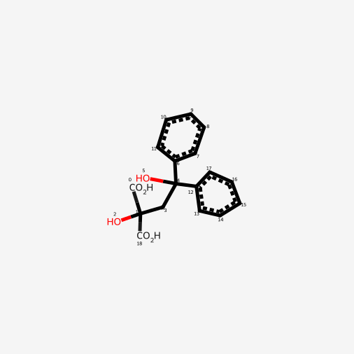 O=C(O)C(O)([C]C(O)(c1ccccc1)c1ccccc1)C(=O)O